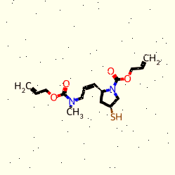 C=CCOC(=O)N(C)C/C=C\[C@@H]1C[C@H](S)CN1C(=O)OCC=C